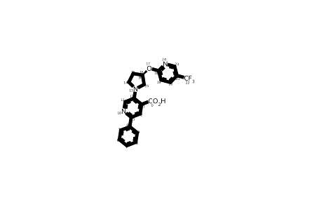 O=C(O)c1cc(-c2ccccc2)ncc1N1CC[C@@H](Oc2ccc(C(F)(F)F)cn2)C1